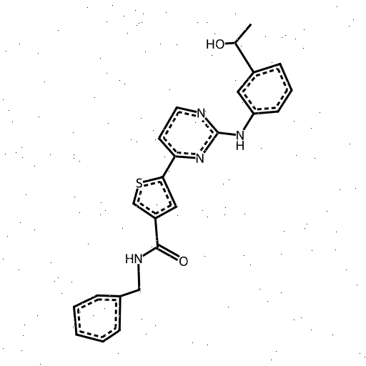 CC(O)c1cccc(Nc2nccc(-c3cc(C(=O)NCc4ccccc4)cs3)n2)c1